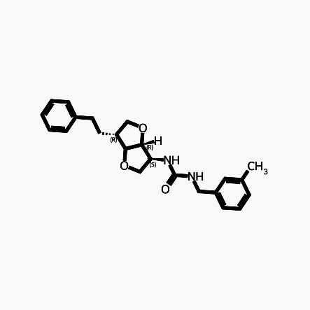 Cc1cccc(CNC(=O)N[C@H]2COC3[C@H](CCc4ccccc4)CO[C@@H]32)c1